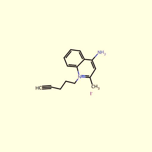 C#CCCC[n+]1c(C)cc(N)c2ccccc21.[I-]